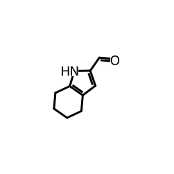 O=Cc1cc2c([nH]1)CCCC2